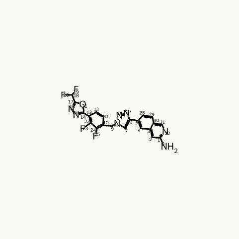 Nc1cc2cc(-c3cn(Cc4ccc(-c5nnc(C(F)F)o5)c(F)c4F)nn3)ccc2cn1